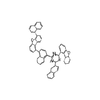 C1=Cc2c(-c3nc(-c4ccc5ccccc5c4)nc(-c4cccc5c4C4CCC=CC4O5)n3)ccc(-c3cccc4oc5c(-c6cccc7ccccc67)cccc5c34)c2CC1